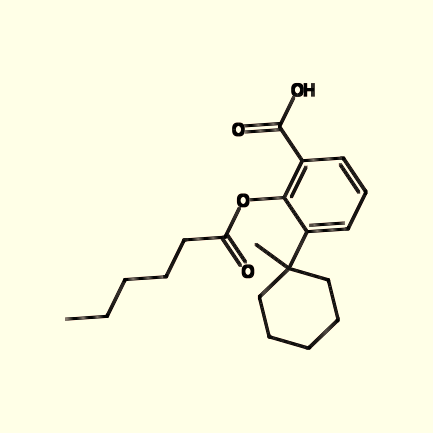 CCCCCC(=O)Oc1c(C(=O)O)cccc1C1(C)CCCCC1